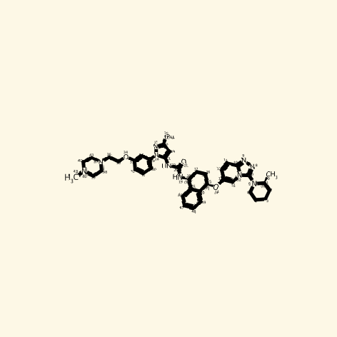 C[C@H]1CCCCN1c1nnc2ccc(O[C@@H]3CC[C@H](NC(=O)Nc4cc(C(C)(C)C)nn4-c4cccc(OCCN5CCN(C)CC5)c4)c4ccccc43)cn12